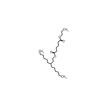 CCCCCCC(CCCCCC)CCOC(=O)CCCCC(=O)OCCC